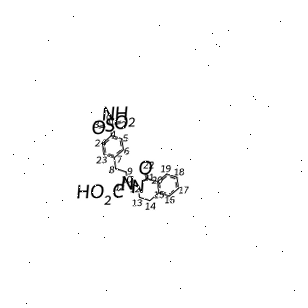 NS(=O)(=O)c1ccc(CCN(C(=O)O)N2CCc3ccccc3C2=O)cc1